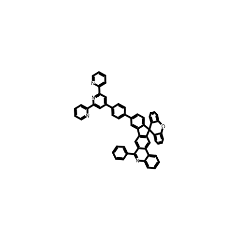 c1ccc(-c2nc3ccccc3c3cc4c(cc23)-c2cc(-c3ccc(-c5cc(-c6ccccn6)nc(-c6ccccn6)c5)cc3)ccc2C42c3ccccc3Oc3ccccc32)cc1